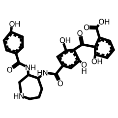 O=C(NC1CCCNCC1NC(=O)c1ccc(O)cc1)c1cc(O)c(C(=O)c2c(O)cccc2C(=O)O)c(O)c1